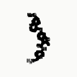 COc1ccc2c(Oc3ccc4c(C(=O)Nc5ccc(CN)nc5)c(C)oc4c3)ccnc2c1